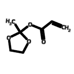 C=CC(=O)OC1(C)OCCO1